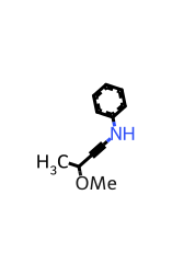 COC(C)C#CNc1ccccc1